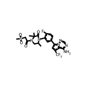 CC1CN(C(=O)CS(C)(=O)=O)C(C)(C)C(=O)N1c1cc(-c2cc(C(F)(F)F)c3c(N)ncnn23)ccc1F